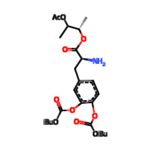 CC(=O)OC(C)[C@H](C)OC(=O)[C@@H](N)Cc1ccc(OC(=O)OCC(C)C)c(OC(=O)OCC(C)C)c1